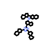 c1ccc2cc(-c3nc(-c4ccc5ccccc5c4)nc(-c4ccc(-n5c6cc7ccccc7cc6c6ccc7ccccc7c65)c5ccccc45)n3)ccc2c1